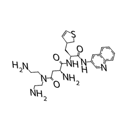 NCCN(CCN)C(=O)C[C@H](N)C(=O)N[C@@H](CC1C=CSC1)C(=O)Nc1cnc2ccccc2c1